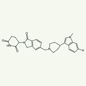 Cn1cc(C2CCN(Cc3ccc4c(c3)CN(C3CCC(=O)NC3=O)C4=O)CC2)c2ccc(F)cc21